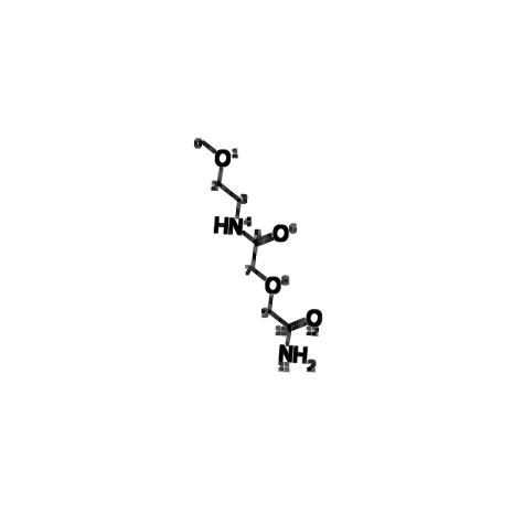 COCCNC(=O)COCC(N)=O